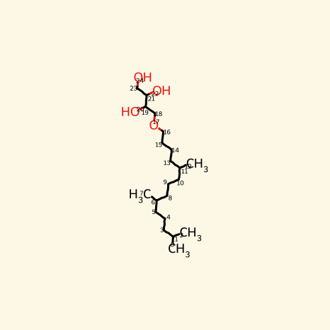 CC(C)CCCC(C)CCCC(C)CCCCOCC(O)C(O)CO